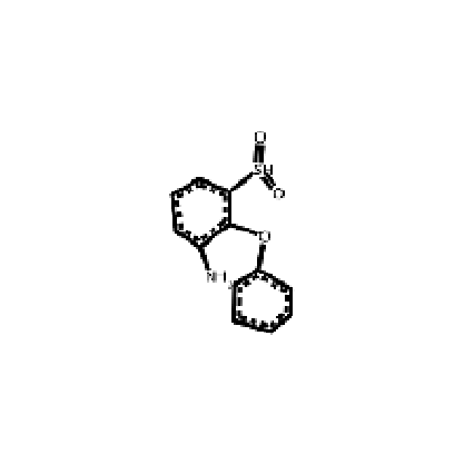 Nc1cccc([SH](=O)=O)c1Oc1ccccc1